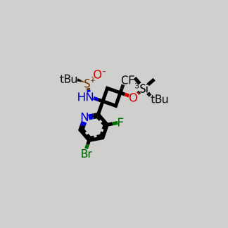 CC(C)(C)[S@@+]([O-])NC1(c2ncc(Br)cc2F)CC(O[Si](C)(C)C(C)(C)C)(C(F)(F)F)C1